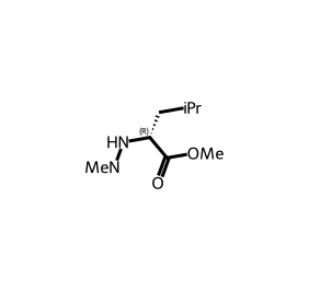 CNN[C@H](CC(C)C)C(=O)OC